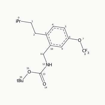 CC(C)CCc1ccc(OC(F)(F)F)cc1CNC(=O)OC(C)(C)C